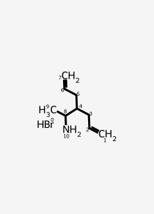 Br.C=CCC(CC=C)C(C)N